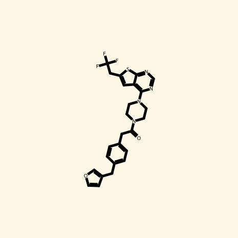 O=C(Cc1ccc(Cc2ccoc2)cc1)N1CCN(c2ncnc3sc(CC(F)(F)F)cc23)CC1